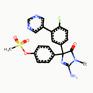 CCN1C(=O)C(c2ccc(OS(C)(=O)=O)cc2)(c2ccc(F)c(-c3cncnc3)c2)N=C1N